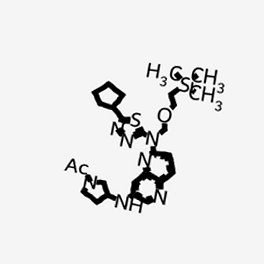 CC(=O)N1CCC(Nc2cnc3ccc(N(COCC[Si](C)(C)C)c4nnc(C5CCCC5)s4)nc3c2)C1